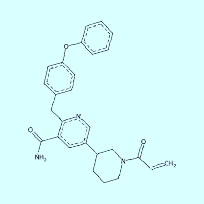 C=CC(=O)N1CCCC(c2cnc(Cc3ccc(Oc4ccccc4)cc3)c(C(N)=O)c2)C1